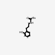 CC(C)(C)C(=O)NCCCc1ccccc1O